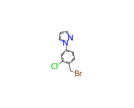 Clc1cc(-n2cccn2)ccc1CBr